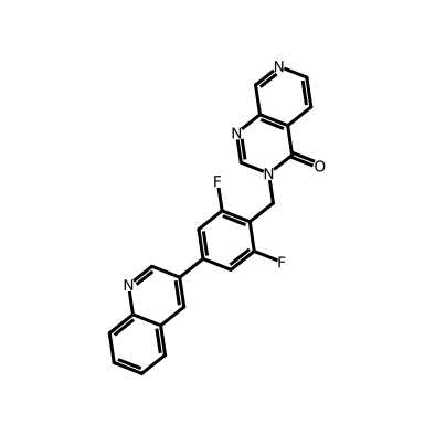 O=c1c2ccncc2ncn1Cc1c(F)cc(-c2cnc3ccccc3c2)cc1F